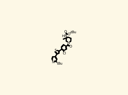 CC1(NC(=O)OC(C)(C)C)CCCN(C(=O)c2ccc(-c3cc(-c4ccnc(C(C)(C)C)c4)cs3)c(Cl)c2)C1